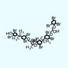 CC(C)(CC(O)COc1c(Br)cc(C(C)(C)c2cc(Br)c(O)c(Br)c2)cc1Br)Oc1c(Br)cc(C(C)(C)c2cc(Br)c(OCC(O)COc3c(Br)cc(Br)cc3Br)c(Br)c2)cc1Br